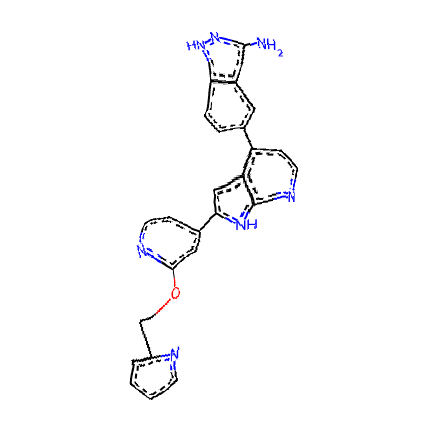 Nc1n[nH]c2ccc(-c3ccnc4[nH]c(-c5ccnc(OCc6ccccn6)c5)cc34)cc12